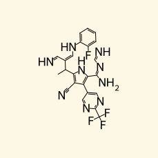 CC(/C(C=N)=C/Nc1ccccc1F)c1[nH]c(/C(N)=N\C=N)c(-c2cnc(C(F)(F)F)nc2)c1C#N